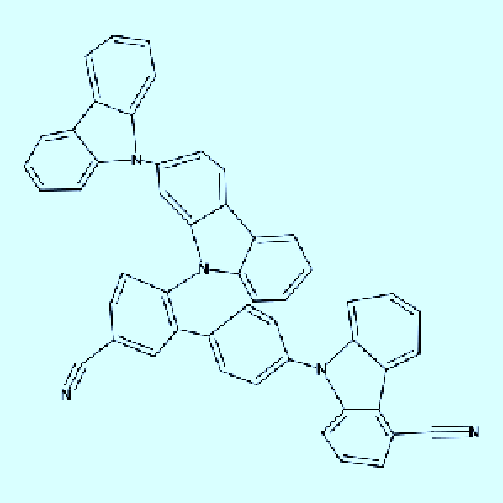 N#Cc1ccc(-n2c3ccccc3c3ccc(-n4c5ccccc5c5ccccc54)cc32)c(-c2ccc(-n3c4ccccc4c4c(C#N)cccc43)cc2)c1